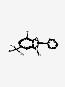 Cn1c(-c2ccccc2)nc2c(Br)cc(C(C)(C)O)cc21